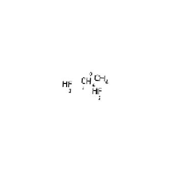 C.C.F.F